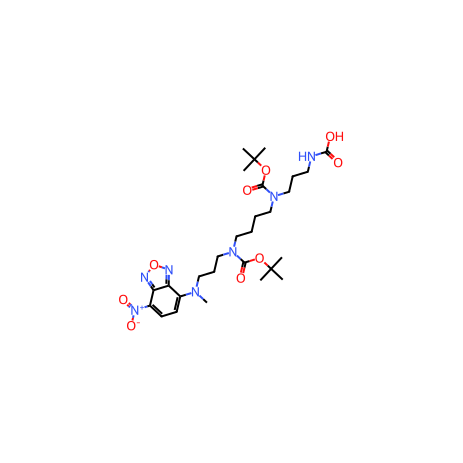 CN(CCCN(CCCCN(CCCNC(=O)O)C(=O)OC(C)(C)C)C(=O)OC(C)(C)C)c1ccc([N+](=O)[O-])c2nonc12